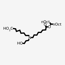 CCCCCCCCC(CCCCCCCC)OC(=O)CCCCCCCN(CCCO)CCCCCCCC(=O)O